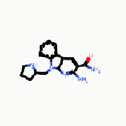 NC(=O)C1=CC2c3ccccc3N(CC3CCCN3)C2N=C1N